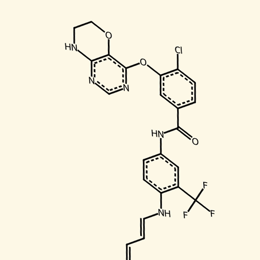 O=CC=CNc1ccc(NC(=O)c2ccc(Cl)c(Oc3ncnc4c3OCCN4)c2)cc1C(F)(F)F